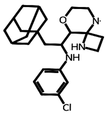 Clc1cccc(NC(CC23CC4CC(CC(C4)C2)C3)C2OCC[N]C23CCN3)c1